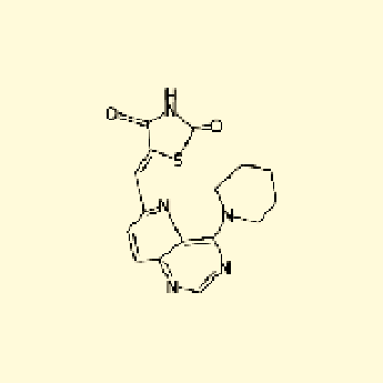 O=C1NC(=O)C(=Cc2ccc3ncnc(N4CCCCC4)c3n2)S1